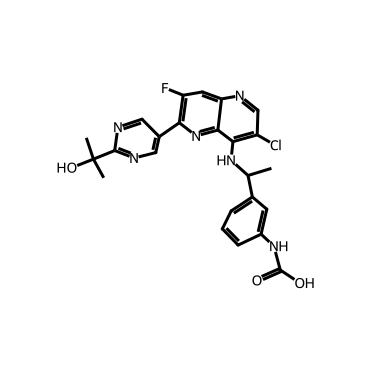 CC(Nc1c(Cl)cnc2cc(F)c(-c3cnc(C(C)(C)O)nc3)nc12)c1cccc(NC(=O)O)c1